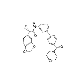 O=C(c1ccc(-c2cccc(NC(=O)C3(c4ccc5c(c4)OCO5)CC3)c2)cc1)N1CCOCC1